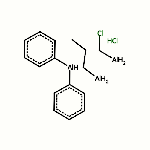 CC[CH2][AlH2].Cl.[AlH2][CH2]Cl.c1cc[c]([AlH][c]2ccccc2)cc1